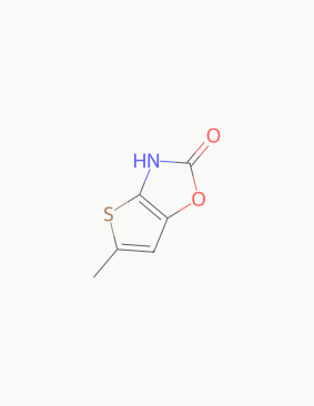 Cc1cc2oc(=O)[nH]c2s1